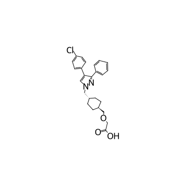 O=C(O)COC[C@H]1CC[C@H](Cn2cc(-c3ccc(Cl)cc3)c(-c3ccccc3)n2)CC1